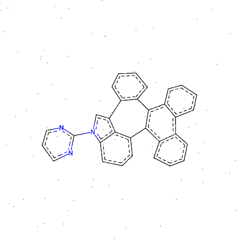 c1cnc(-n2cc3c4c(cccc42)-c2c(c4ccccc4c4ccccc24)-c2ccccc2-3)nc1